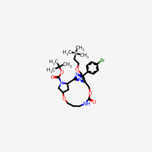 CC(C)(C)OC(=O)N1CC2CC1c1nc(-c3ccc(Br)cc3)c(n1COCC[Si](C)(C)C)COC(=O)NCCCO2